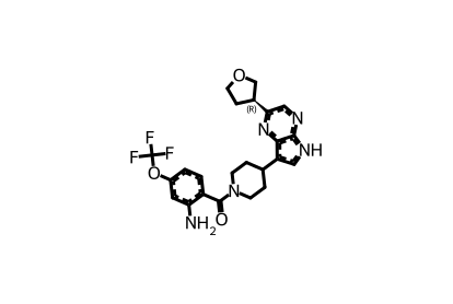 Nc1cc(OC(F)(F)F)ccc1C(=O)N1CCC(c2c[nH]c3ncc([C@H]4CCOC4)nc23)CC1